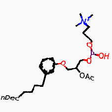 CCCCCCCCCCCCCCc1cccc(OCC(COP(O)OCCC[N+](C)(C)C)OC(C)=O)c1